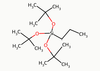 CC[CH][Si](OC(C)(C)C)(OC(C)(C)C)OC(C)(C)C